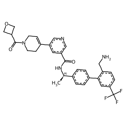 C[C@@H](NC(=O)c1cncc(C2=CCN(C(=O)C3COC3)CC2)c1)c1ccc(-c2cc(C(F)(F)F)ccc2CN)cc1